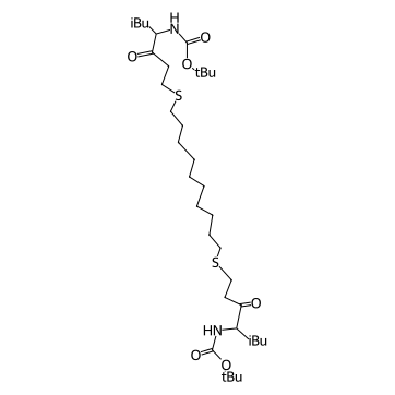 CCC(C)C(NC(=O)OC(C)(C)C)C(=O)CCSCCCCCCCCCCSCCC(=O)C(NC(=O)OC(C)(C)C)C(C)CC